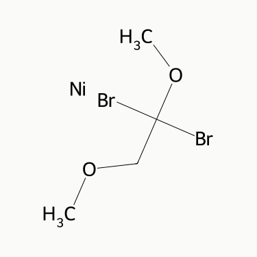 COCC(Br)(Br)OC.[Ni]